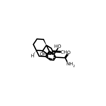 C=C1CC[C@@]2(O)[C@@H]3CCC[C@@]2(C1)c1c(ccc(C(N)=O)c1O)C3